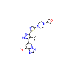 COc1cc(-c2[nH]nc(-c3ncc(N4CCN(C5COC5)CC4)s3)c2C(C)C)cn2ncnc12